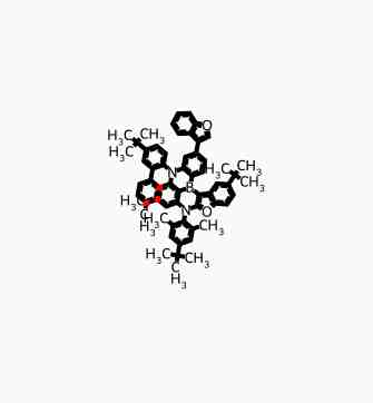 Cc1cc(C(C)(C)C)cc(C)c1N1c2cc(C(C)C)cc3c2B(c2ccc(-c4coc5ccccc45)cc2N3c2ccc(C(C)(C)C)cc2-c2ccccc2)c2c1oc1ccc(C(C)(C)C)cc21